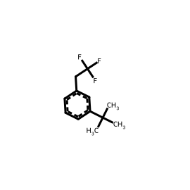 CC(C)(C)c1cccc(CC(F)(F)F)c1